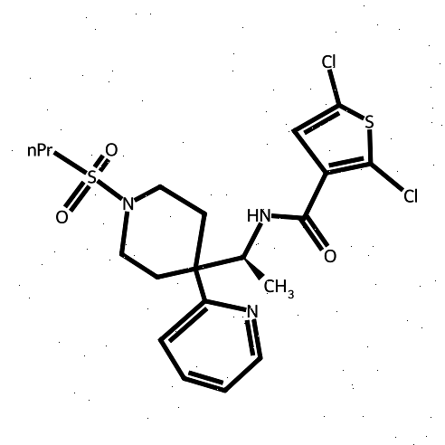 CCCS(=O)(=O)N1CCC(c2ccccn2)([C@H](C)NC(=O)c2cc(Cl)sc2Cl)CC1